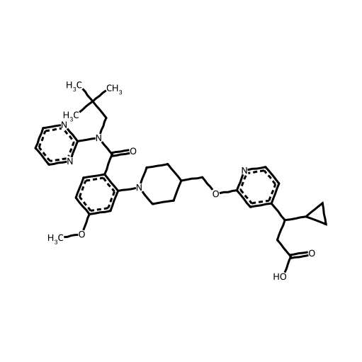 COc1ccc(C(=O)N(CC(C)(C)C)c2ncccn2)c(N2CCC(COc3cc(C(CC(=O)O)C4CC4)ccn3)CC2)c1